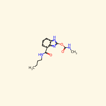 CCCCNC(=O)c1cccc2[nH]c(OC(=O)NC)nc12